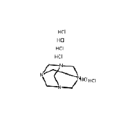 C1N2CN3CN1CN(C2)C3.Cl.Cl.Cl.Cl.Cl.Cl